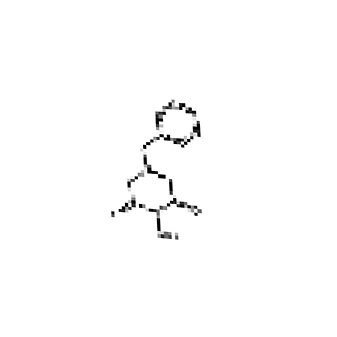 CCCCN1C(=O)CN(Cc2ccccc2)CC1=O